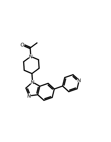 CC(=O)N1CCC(n2cnc3ccc(-c4ccncc4)cc32)CC1